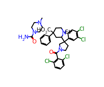 CCN1CCC(C(=O)O)(c2ccccc2)CC1C1(c2ccc(Cl)c(Cl)c2)CCN(C(=O)c2c(Cl)cccc2Cl)C1.CN1CCN(C(N)=O)CC1